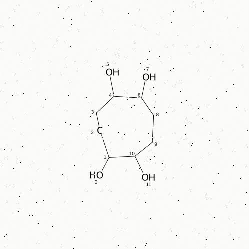 OC1CCC(O)C(O)CCC1O